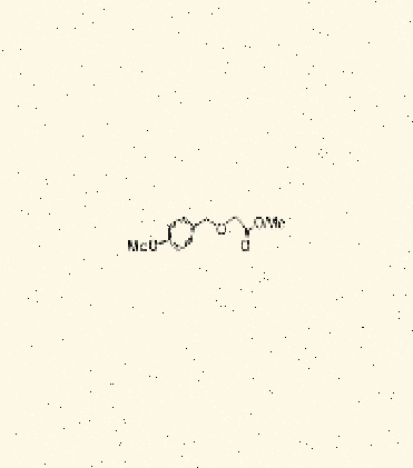 COC(=O)COCc1ccc(OC)cc1